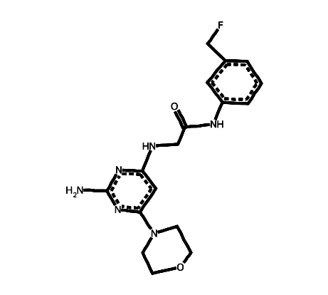 Nc1nc(NCC(=O)Nc2cccc(CF)c2)cc(N2CCOCC2)n1